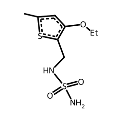 CCOc1cc(C)sc1CNS(N)(=O)=O